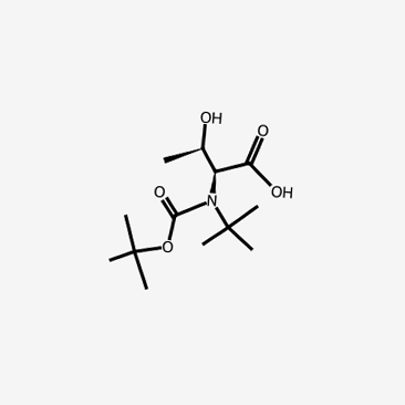 C[C@@H](O)[C@@H](C(=O)O)N(C(=O)OC(C)(C)C)C(C)(C)C